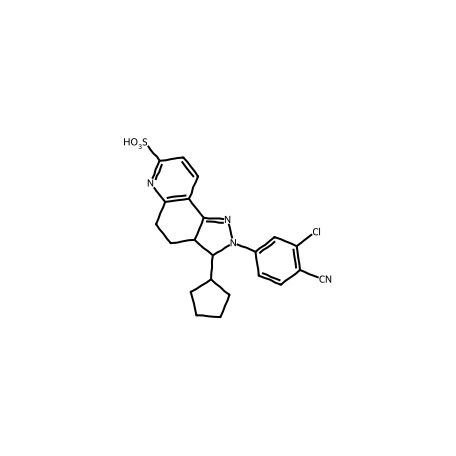 N#Cc1ccc(N2N=C3c4ccc(S(=O)(=O)O)nc4CCC3C2C2CCCC2)cc1Cl